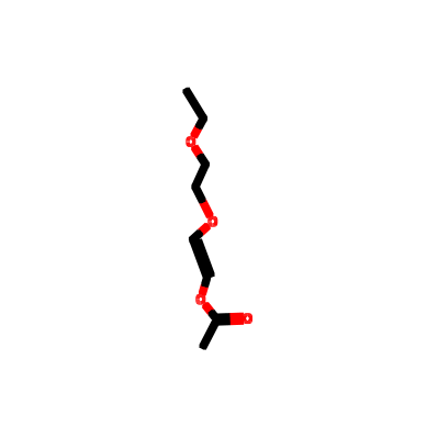 CCOCCOC=COC(C)=O